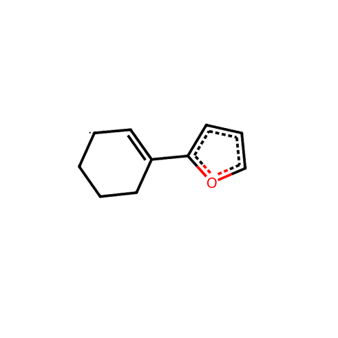 [CH]1C=C(c2ccco2)CCC1